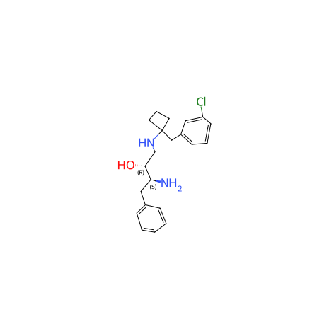 N[C@@H](Cc1ccccc1)[C@H](O)CNC1(Cc2cccc(Cl)c2)CCC1